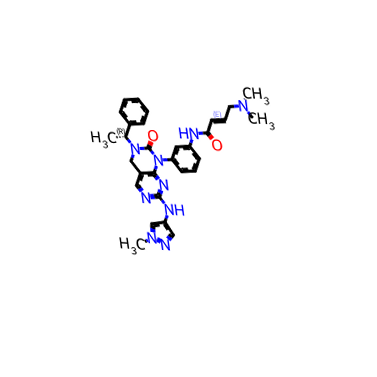 C[C@H](c1ccccc1)N1Cc2cnc(Nc3cnn(C)c3)nc2N(c2cccc(NC(=O)/C=C/CN(C)C)c2)C1=O